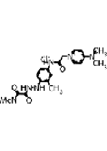 CNC(=O)C(=O)NNc1ccc(NC(=O)C[n+]2ccc(N(C)C)cc2)cc1C.[Cl-]